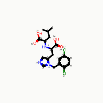 CC(C)CC(NC(Cc1cncn1Cc1cc(Cl)ccc1Cl)C(=O)O)C(=O)O